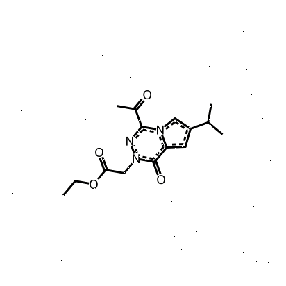 CCOC(=O)Cn1nc(C(C)=O)n2cc(C(C)C)cc2c1=O